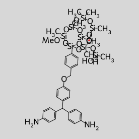 CO[Si]1(C)O[Si]2(C)O[Si](C)(C)O[Si]3(C)O[Si](C)(O[SiH](C)O)O[Si](c4ccc(COc5ccc(C(c6ccc(N)cc6)c6ccc(N)cc6)cc5)cc4)(O1)O[Si](C)(O2)O3